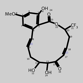 COc1cc(O)c2c(c1)/C=C/CC(O)C(O)C(=O)/C=C\CC(C(F)(F)F)OC2=O